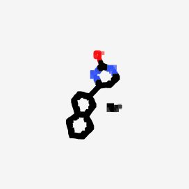 [Na+].[O-]c1nccc(-c2ccc3ccccc3c2)n1